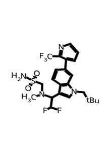 CN(CS(N)(=O)=O)C(c1cn(CC(C)(C)C)c2cc(-c3cccnc3C(F)(F)F)ccc12)C(F)F